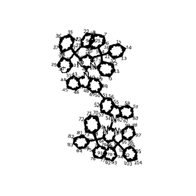 c1ccc(C(c2ccccc2)(c2ccccc2)c2cc(C(c3ccccc3)(c3ccccc3)c3ccccc3)nc(-n3c4ccccc4c4cc(-c5ccc6c(c5)c5ccccc5n6-c5nc(C(c6ccccc6)(c6ccccc6)c6ccccc6)cc(C(c6ccccc6)(c6ccccc6)c6ccccc6)n5)ccc43)n2)cc1